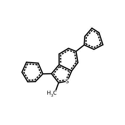 Cc1sc2cc(-c3ccccc3)ccc2c1-c1ccccc1